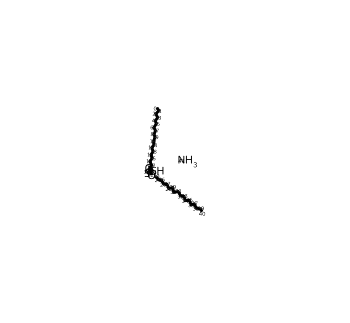 CCCCCCCCCCCCCCCCCCOP(=S)(S)OCCCCCCCCCCCCCCCCCC.N